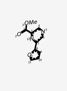 COC(=O)c1cncc(-c2ccco2)n1